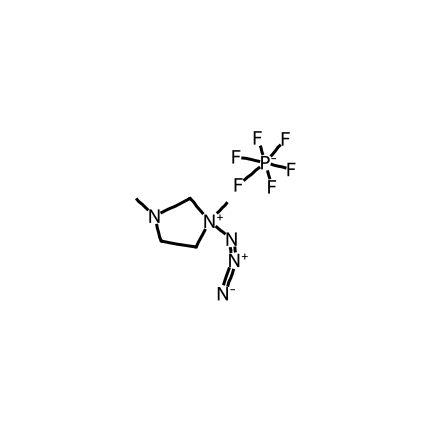 CN1CC[N+](C)(N=[N+]=[N-])C1.F[P-](F)(F)(F)(F)F